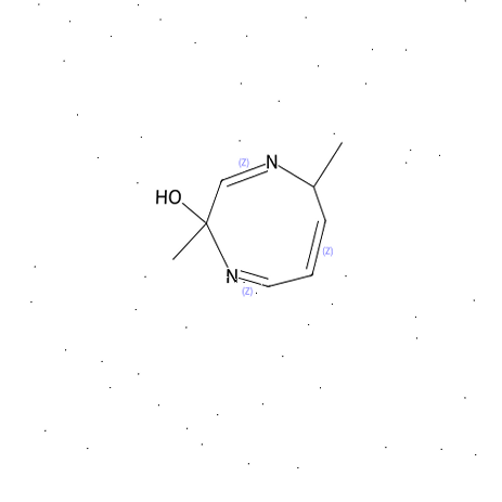 CC1/C=C\C=N/C(C)(O)/C=N\1